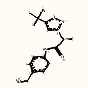 CC(C)C(C)(C)c1cn([C@@H](C)C(=O)Nc2ccc(CO)cc2)nn1